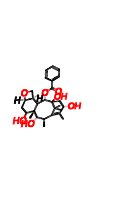 CC1=C2[C@@H](C)[C@H](O)[C@@]3(C)[C@H]([C@H](OC(=O)c4ccccc4)[C@](O)(C[C@@H]1O)C2(C)C)[C@]1(C)CO[C@@H]1C[C@@H]3O